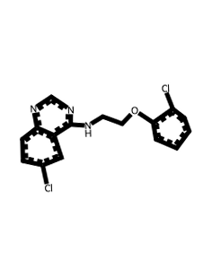 Clc1ccc2ncnc(NCCOc3ccccc3Cl)c2c1